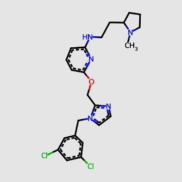 CN1CCCC1CCNc1cccc(OCc2nccn2Cc2cc(Cl)cc(Cl)c2)n1